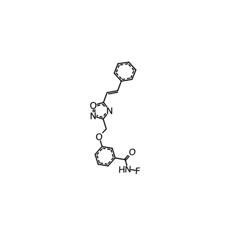 O=C(NF)c1cccc(OCc2noc(C=Cc3ccccc3)n2)c1